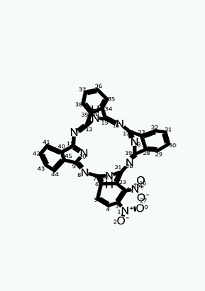 O=[N+]([O-])c1ccc2c3nc4nc(nc5[nH]c(nc6nc(nc([nH]3)c2c1[N+](=O)[O-])-c1ccccc1-6)c1ccccc51)-c1ccccc1-4